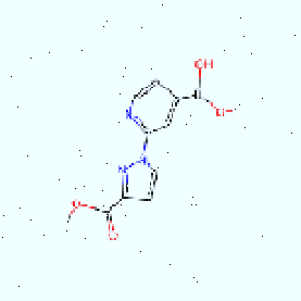 COC(=O)c1ccn(-c2cc(B(O)O)ccn2)n1